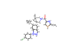 Cc1nc(C(=O)N2C[C@@H]3[C@@H](C)[C@]3(c3cc4cnn(-c5ccc(F)cc5)c4cc3C)C2)cs1